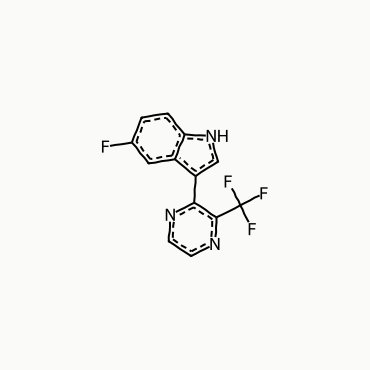 Fc1ccc2[nH]cc(-c3nccnc3C(F)(F)F)c2c1